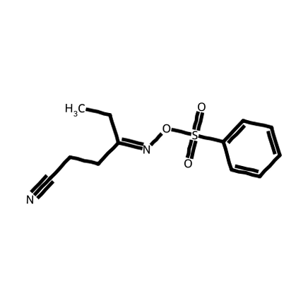 CC/C(CCC#N)=N\OS(=O)(=O)c1ccccc1